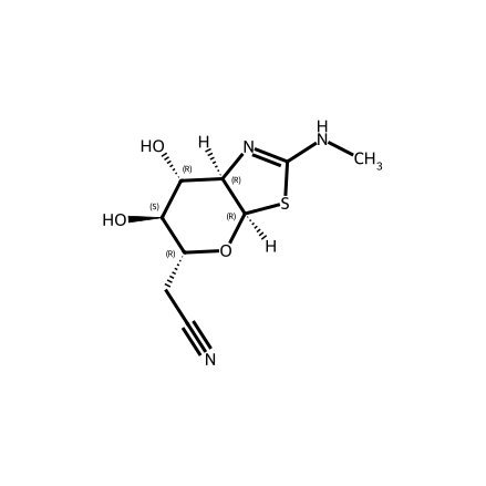 CNC1=N[C@@H]2[C@@H](O)[C@H](O)[C@@H](CC#N)O[C@@H]2S1